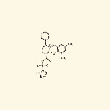 Cc1cc(C)c(Oc2nc(-c3ccccc3)ccc2C(=O)NS(=O)(=O)c2ccn[nH]2)c(C)c1